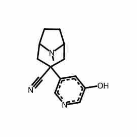 CN1C2CCC1CC(C#N)(c1cncc(O)c1)C2